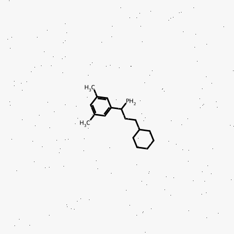 Cc1cc(C)cc(C(P)CC[C]2CCCCC2)c1